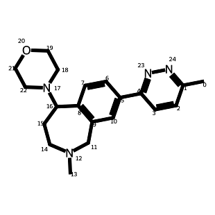 Cc1ccc(-c2ccc3c(c2)CN(C)CCC3N2CCOCC2)nn1